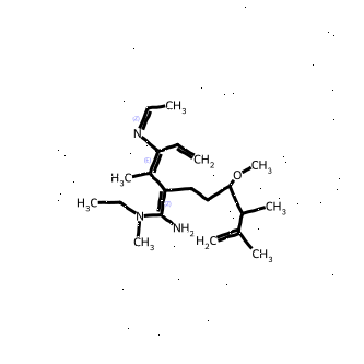 C=CC(/N=C\C)=C(C)\C(CCC(OC)C(C)C(=C)C)=C(\N)N(C)CC